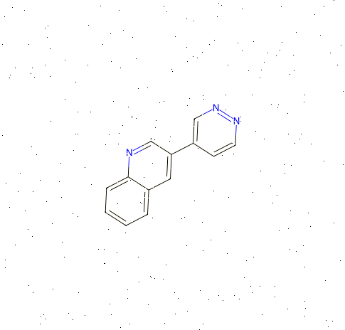 [c]1nc2ccccc2cc1-c1ccnnc1